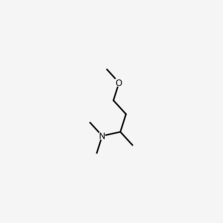 COCCC(C)N(C)C